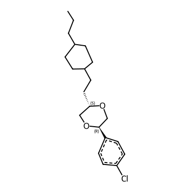 CCCC1CCC(CC[C@H]2CO[C@H](c3ccc(Cl)cc3)CO2)CC1